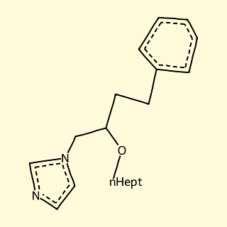 CCCCCCCOC(CCc1ccccc1)Cn1ccnc1